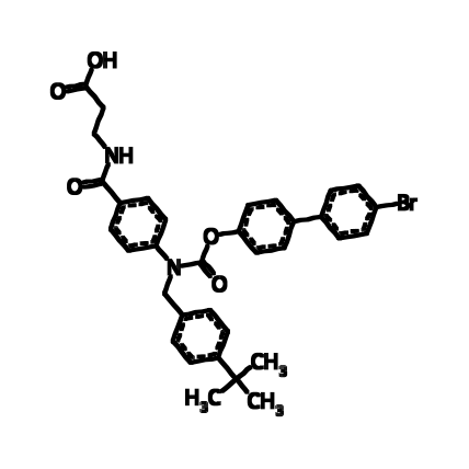 CC(C)(C)c1ccc(CN(C(=O)Oc2ccc(-c3ccc(Br)cc3)cc2)c2ccc(C(=O)NCCC(=O)O)cc2)cc1